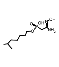 CC(C)CCCCCOP(=O)(O)CC(N)=NO